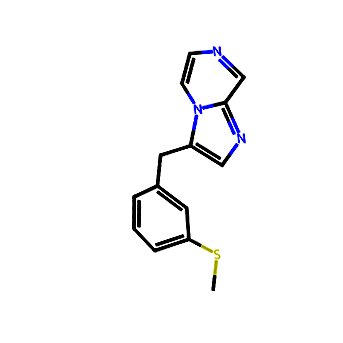 CSc1cccc(Cc2cnc3cnccn23)c1